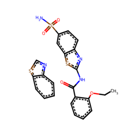 CCOc1ccccc1C(=O)Nc1nc2ccc(S(N)(=O)=O)cc2s1.c1ccc2scnc2c1